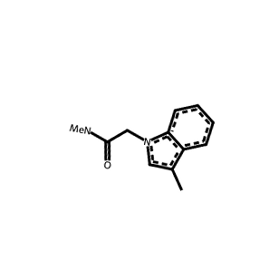 CNC(=O)Cn1cc(C)c2ccccc21